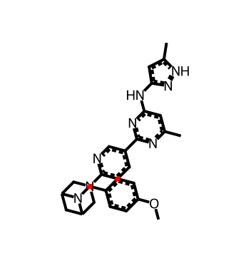 COc1ccc(CN2C3CC2CN(c2ccc(-c4nc(C)cc(Nc5cc(C)[nH]n5)n4)cn2)C3)cc1